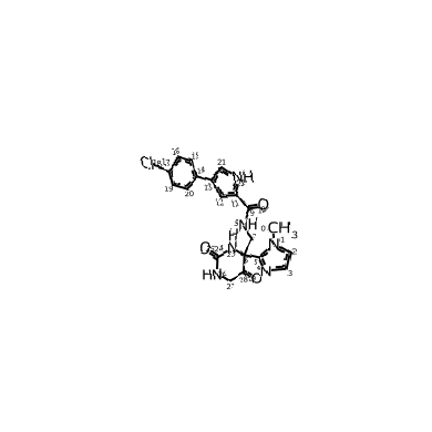 Cn1ccnc1C1(CNC(=O)c2cc(-c3ccc(Cl)cc3)c[nH]2)NC(=O)NCC1=O